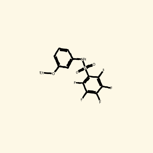 CCOc1cccc(NS(=O)(=O)c2c(F)c(F)c(F)c(F)c2F)c1